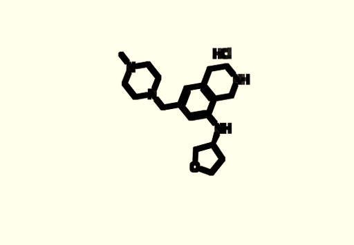 CN1CCN(Cc2cc3c(c(N[C@H]4CCOC4)c2)CNCC3)CC1.Cl